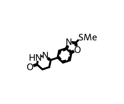 CSc1nc2cc(C3=NNC(=O)CC3)ccc2o1